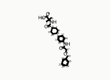 CC(C)(NC(=O)[C@H]1CC[C@H](c2ccc(NC(=O)COCc3ccccc3)cc2)CC1)C(=O)O